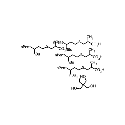 CCCCCC(CCCC)CCSCC(C)C(=O)O.CCCCCC(CCCC)CCSCC(C)C(=O)O.CCCCCC(CCCC)CCSCC(C)C(=O)O.CCCCCC(CCCC)CCSCC(C)C(=O)O.OCC(CO)(CO)CO